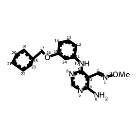 CON=Cc1c(N)ncnc1Nc1cccc(OCc2ccccc2)c1